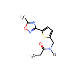 CCN(Cc1ccc(-c2noc(C(F)(F)F)n2)s1)C(=O)CC(F)(F)F